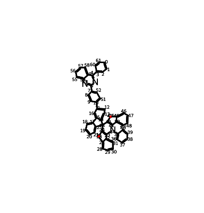 c1ccc(-c2nc(-c3ccc(-c4ccc5c(c4)-c4ccccc4C54c5ccc6ccccc6c5N(c5ccccc5)c5c4ccc4ccccc54)cc3)nc3ccccc23)cc1